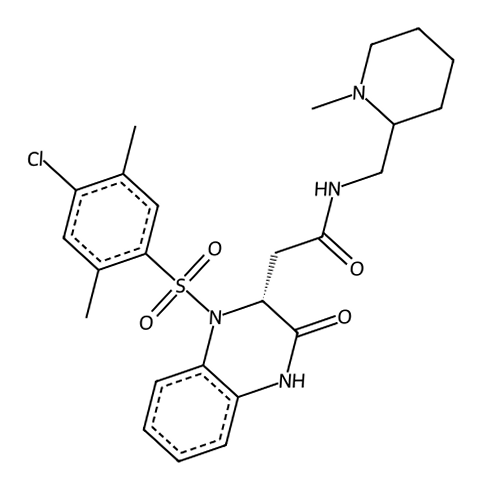 Cc1cc(S(=O)(=O)N2c3ccccc3NC(=O)[C@H]2CC(=O)NCC2CCCCN2C)c(C)cc1Cl